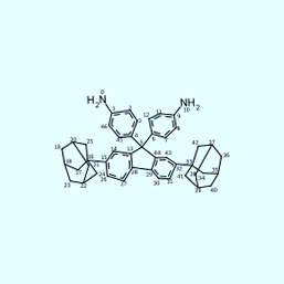 Nc1ccc(C2(c3ccc(N)cc3)c3cc(C45CC6CC(CC(C6)C4)C5)ccc3-c3ccc(C45CC6CC(CC(C6)C4)C5)cc32)cc1